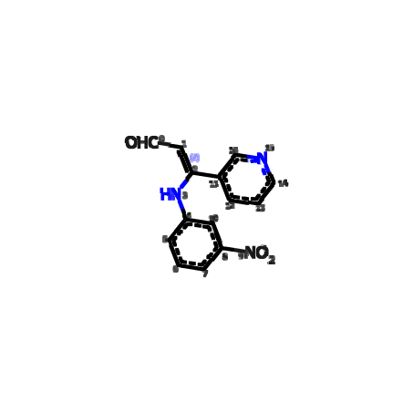 O=C/C=C(\Nc1cccc([N+](=O)[O-])c1)c1cccnc1